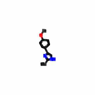 CCOc1ccc(-c2c[nH]c(C(C)(C)C)n2)cc1